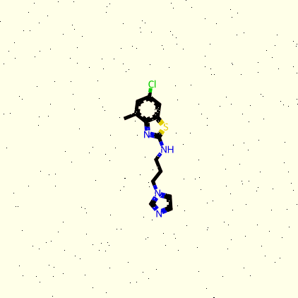 Cc1cc(Cl)cc2sc(NCCCn3ccnc3)nc12